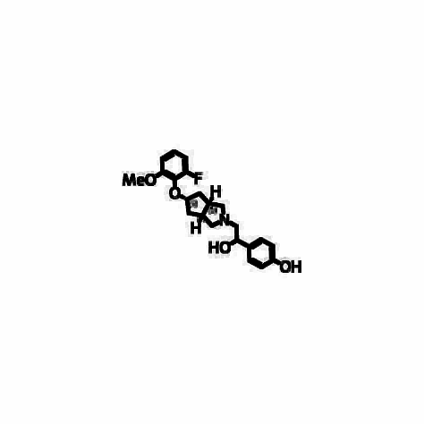 COc1cccc(F)c1O[C@H]1C[C@@H]2CN(CC(O)c3ccc(O)cc3)C[C@@H]2C1